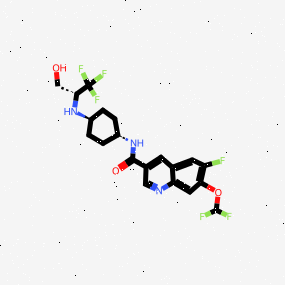 O=C(N[C@H]1CC[C@H](N[C@H](CO)C(F)(F)F)CC1)c1cnc2cc(OC(F)F)c(F)cc2c1